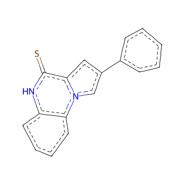 S=c1[nH]c2ccccc2n2cc(-c3ccccc3)cc12